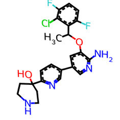 CC(Oc1cc(-c2ccc(C3(O)CCNCC3)nc2)cnc1N)c1c(F)ccc(F)c1Cl